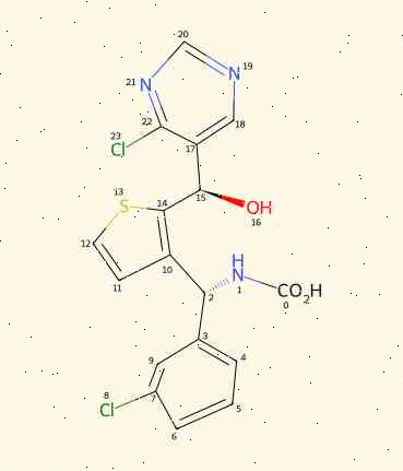 O=C(O)N[C@H](c1cccc(Cl)c1)c1ccsc1[C@H](O)c1cncnc1Cl